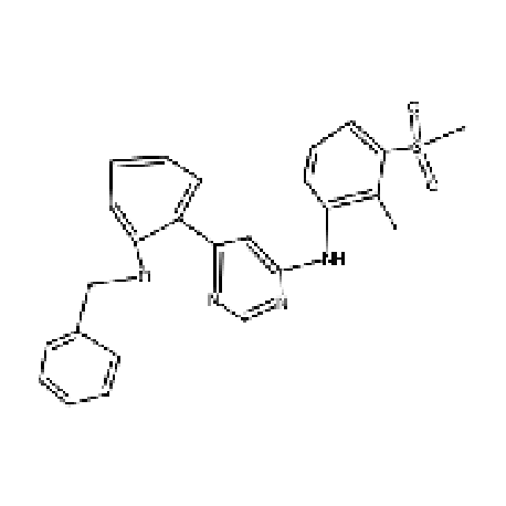 Cc1c(Nc2cc(-c3ccccc3OCc3ccccc3)ncn2)cccc1S(C)(=O)=O